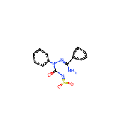 NC(=NN(C(=O)N=S(=O)=O)c1ccccc1)c1ccccc1